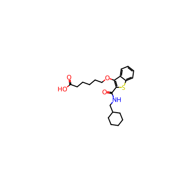 O=C(O)CCCCCOc1c(C(=O)NCC2CCCCC2)sc2ccccc12